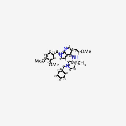 COC=Cc1cnc2c(ccn2Cc2ccc(OC)c(OC)c2)c1N[C@H]1CN(Cc2ccccc2)CC[C@H]1C